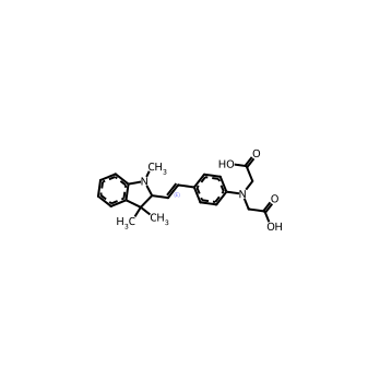 CN1c2ccccc2C(C)(C)C1/C=C/c1ccc(N(CC(=O)O)CC(=O)O)cc1